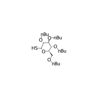 CCCCOC[C@H]1OC(S)[C@H](OCCCC)[C@@H](OCCCC)[C@@H]1OCCCC